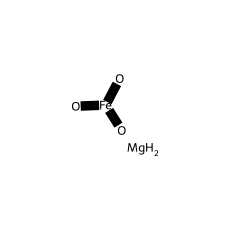 [MgH2].[O]=[Fe](=[O])=[O]